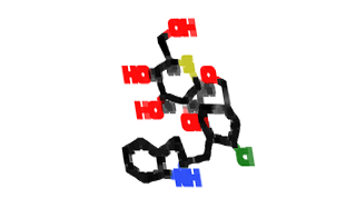 OC[C@H]1S[C@]2(OCc3cc(Cl)c(Cc4cc5ccccc5[nH]4)cc32)[C@H](O)[C@@H](O)[C@@H]1O